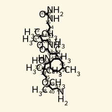 CC1CCCC(N[C@H](C(=O)N[C@@H](CCCCNC(N)=O)C(=O)C(C)(C)C)C(C)C)(C(O)C(C)(C)CCOC(C)(C)CCN)CCC1